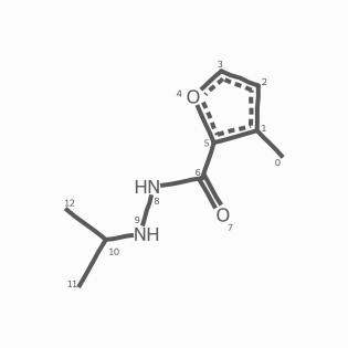 Cc1ccoc1C(=O)NNC(C)C